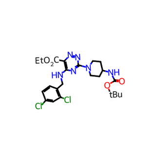 CCOC(=O)c1nnc(N2CCC(NC(=O)OC(C)(C)C)CC2)nc1NCc1ccc(Cl)cc1Cl